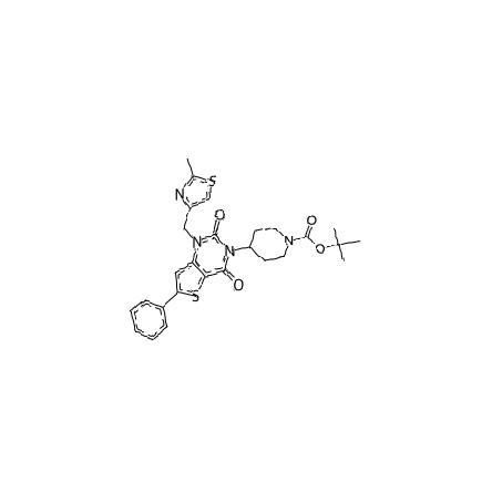 Cc1nc(Cn2c(=O)n(C3CCN(C(=O)OC(C)(C)C)CC3)c(=O)c3sc(-c4ccccc4)cc32)cs1